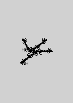 C=CC(=N)OCCCCCC(=O)OCCN1C(=O)N(CCOC(=O)CCCCCOC(=O)C=C)C2C1N(CCOC(O)CCCCCOC(=O)C=C)C(=O)N2CCOC(=O)CCCCCOC(=O)C=C